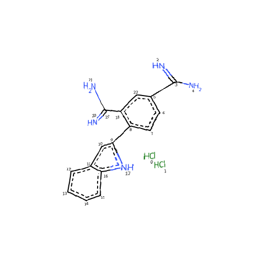 Cl.Cl.N=C(N)c1ccc(-c2cc3ccccc3[nH]2)c(C(=N)N)c1